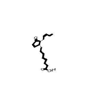 CC/C=C\C[C@H]1C(=O)CC[C@H]1CCCCCCCC(=O)O